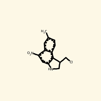 Cc1ccc2c3c(cc([N+](=O)[O-])c2c1)NCC3CCl